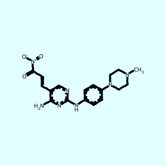 CN1CCN(c2ccc(Nc3ncc(C=CC(=O)[N+](=O)[O-])c(N)n3)cc2)CC1